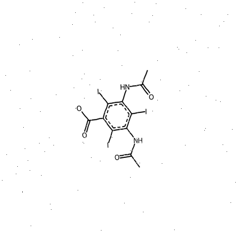 CC(=O)Nc1c(I)c(NC(C)=O)c(I)c(C([O])=O)c1I